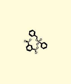 O=S(=O)(OCc1ccccc1)c1ccccc1.O=[N+]([O-])c1cccc([N+](=O)[O-])c1